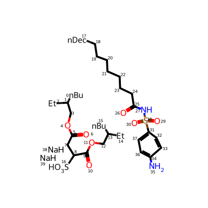 CCCCC(CC)COC(=O)CC(C(=O)OCC(CC)CCCC)S(=O)(=O)O.CCCCCCCCCCCCCCCCCC(=O)NS(=O)(=O)c1ccc(N)cc1.[NaH].[NaH]